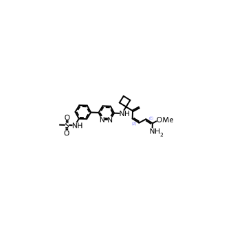 C=C(/C=C\C=C(/N)OC)C1(Nc2ccc(-c3cccc(NS(C)(=O)=O)c3)nn2)CCC1